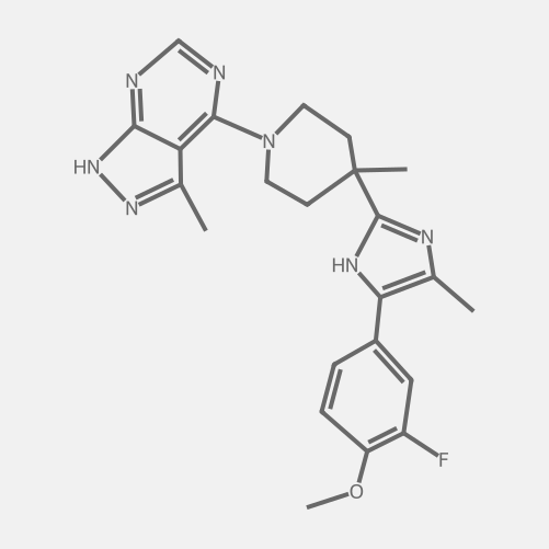 COc1ccc(-c2[nH]c(C3(C)CCN(c4ncnc5[nH]nc(C)c45)CC3)nc2C)cc1F